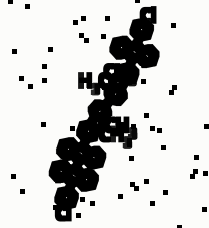 CC1(C)c2cc(-c3ccc4c(c3)C(C)(C)c3cc(-c5c6ccccc6c(-c6c7ccccc7c(-c7ccc(Cl)cc7)c7ccccc67)c6ccccc56)ccc3-4)ccc2-c2ccc(-c3c4ccccc4c(-c4ccc(Cl)cc4)c4ccccc34)cc21